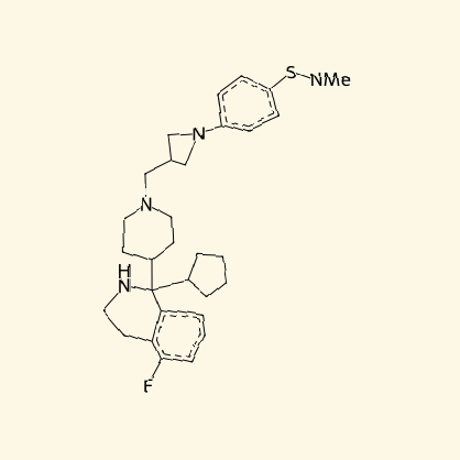 CNSc1ccc(N2CC(CN3CCC(C4(C5CCCC5)NCCc5c(F)cccc54)CC3)C2)cc1